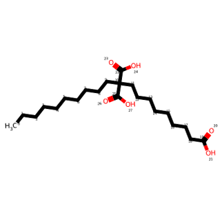 CCCCCCCCCCC(CCCCCCCCC(=O)O)(C(=O)O)C(=O)O